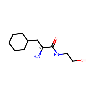 N[C@@H](CC1CCCCC1)C(=O)NCCO